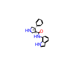 O=C(Nc1cccc2cc[nH]c12)[C@H]1CNC[C@@H]1c1ccccc1